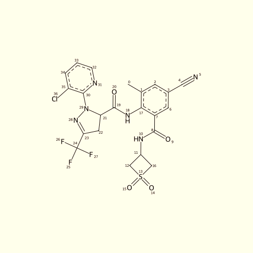 Cc1cc(C#N)cc(C(=O)NC2CS(=O)(=O)C2)c1NC(=O)C1CC(C(F)(F)F)=NN1c1ncccc1Cl